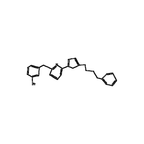 CC(C)c1cccc(Cc2cccc(C3=CC=C(CCCCc4ccccc4)C3)n2)c1